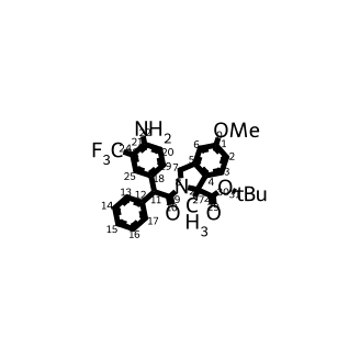 COc1ccc2c(c1)CN(C(=O)C(c1ccccc1)c1ccc(N)c(C(F)(F)F)c1)C2(C)C(=O)OC(C)(C)C